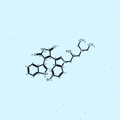 CCN(CC)CC(O)Cn1cc(C2=C(c3c[nH]c4ccccc34)C(=O)NC2=O)c2cc(Br)ccc21